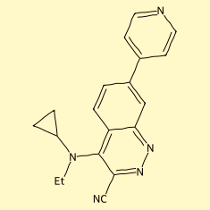 CCN(c1c(C#N)nnc2cc(-c3ccncc3)ccc12)C1CC1